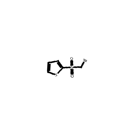 O=S(=O)([CH]Br)c1cccs1